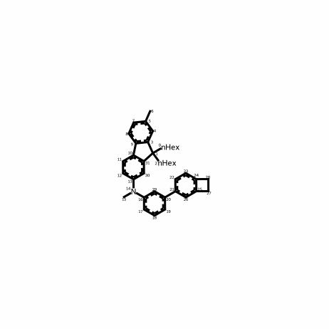 CCCCCCC1(CCCCCC)c2cc(C)ccc2-c2ccc(N(C)c3cccc(-c4ccc5c(c4)CC5)c3)cc21